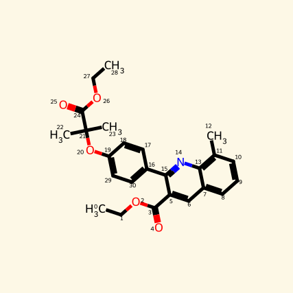 CCOC(=O)c1cc2cccc(C)c2nc1-c1ccc(OC(C)(C)C(=O)OCC)cc1